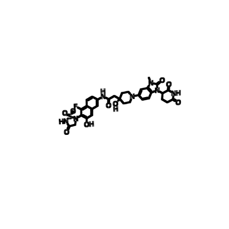 Cn1c(=O)n(C2CCC(=O)NC2=O)c2ccc(N3CCC(O)(CC(=O)Nc4ccc5c(F)c(N6CC(=O)NS6(=O)=O)c(O)cc5c4)CC3)cc21